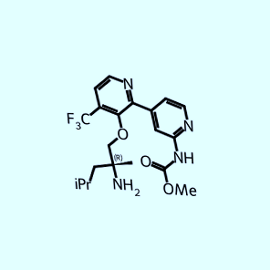 COC(=O)Nc1cc(-c2nccc(C(F)(F)F)c2OC[C@](C)(N)CC(C)C)ccn1